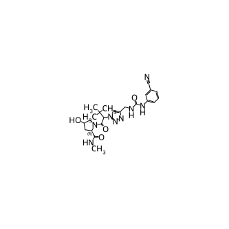 CNC(=O)[C@H]1CC(O)CN1C(=O)C(n1cc(CNC(=O)Nc2cccc(C#N)c2)nn1)C(C)(C)C